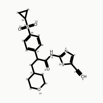 C#Cc1cnc(NC(=O)C(CC2CCOCC2)c2ccc(S(=O)(=O)C3CC3)cc2)s1